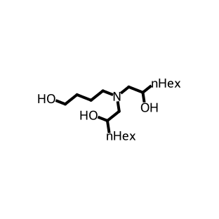 CCCCCCC(O)CN(CCCCO)CC(O)CCCCCC